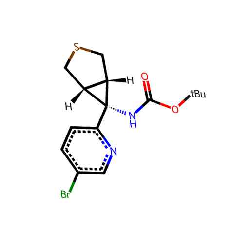 CC(C)(C)OC(=O)N[C@]1(c2ccc(Br)cn2)[C@@H]2CSC[C@@H]21